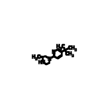 C=C1CN(c2ccc(C(C)(C)C)cn2)CCN1